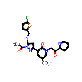 CC(C)(C)C(=O)n1nc(-c2cc(C(=O)O)cn(CC(=O)c3ccccn3)c2=O)cc1NCc1ccc(Cl)s1